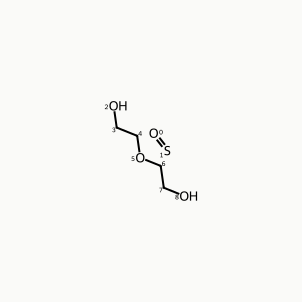 O=S.OCCOCCO